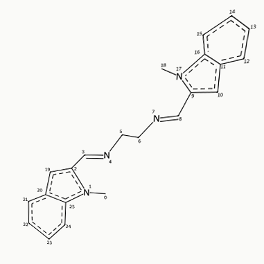 Cn1c(C=NCCN=Cc2cc3ccccc3n2C)cc2ccccc21